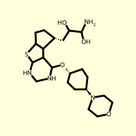 NC(O)C(O)C[C@H]1CCC2SC3NCNC(O[C@H]4CC[C@H](N5CCOCC5)CC4)C3C21